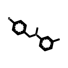 Cc1cccc(N(C)Cc2ccc(F)cc2)c1